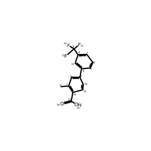 Cc1cc(-c2cccc(C(F)(F)F)c2)ccc1C(=O)O